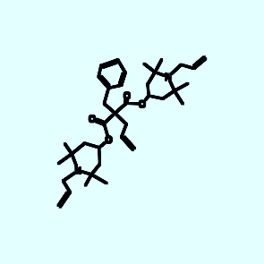 C=CCN1C(C)(C)CC(OC(=O)C(CC=C)(Cc2ccccc2)C(=O)OC2CC(C)(C)N(CC=C)C(C)(C)C2)CC1(C)C